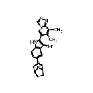 Cc1c(-c2[nH]c3ccc(C4CC5CCC(C4)N5)cc3c2C(C)C)cn2cnnc2c1C